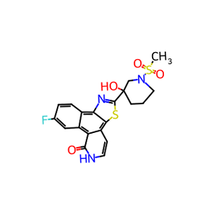 CS(=O)(=O)N1CCCC(O)(c2nc3c4ccc(F)cc4c4c(=O)[nH]ccc4c3s2)C1